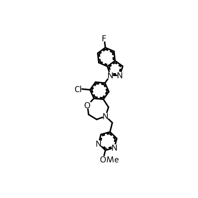 COc1ncc(CN2CCOc3c(Cl)cc(-n4ncc5cc(F)ccc54)cc3C2)cn1